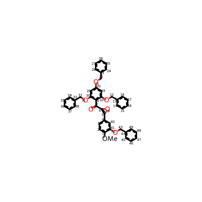 COc1ccc(C2=C(C(=O)c3c(OCc4ccccc4)cc(OCc4ccccc4)cc3OCc3ccccc3)O2)cc1OCc1ccccc1